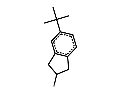 CC(C)(C)c1ccc2c(c1)CC(F)C2